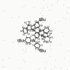 CC(C)(C)c1ccc(N(c2ccc(C(C)(C)C)cc2)c2cc3c4c(c2)-n2c5c(c6cc(C(C)(C)C)cc(c62)B4c2cccc4c2N3C2(C)CCCCC42C)C(C)(C)c2ccccc2-5)cc1